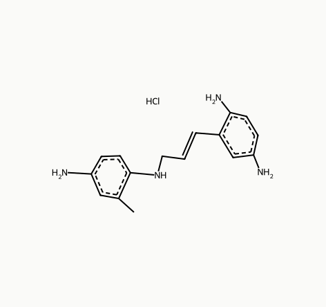 Cc1cc(N)ccc1NCC=Cc1cc(N)ccc1N.Cl